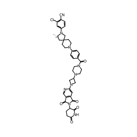 C[C@H]1CC2(CCN(c3ccc(C(=O)N4CCN(C5CN(c6cc7c(cn6)C(=O)N(C6CCC(=O)NC6=O)C7=O)C5)CC4)cc3)CC2)CN1c1ccc(C#N)c(Cl)c1